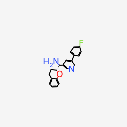 NC(c1cncc(-c2ccc(F)cc2)c1)[C@H]1CCc2ccccc2O1